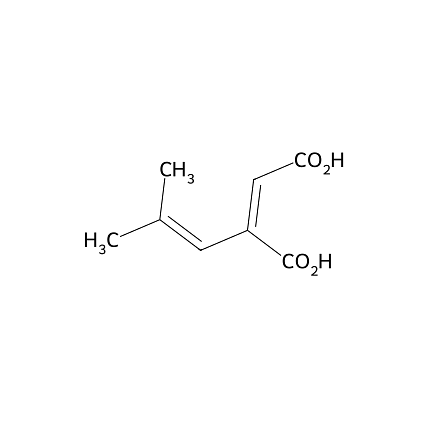 CC(C)=C/C(=C/C(=O)O)C(=O)O